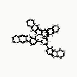 c1ccc2cc(-c3nc(-c4ccc5oc6ccccc6c5c4)nc(-c4ccc5c(oc6cc7ccccc7cc65)c4-n4c5ccccc5c5cc6ccccc6cc54)n3)ccc2c1